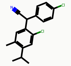 Cc1cc(C(C#N)c2ccc(Cl)cc2)c(Cl)cc1C(C)C